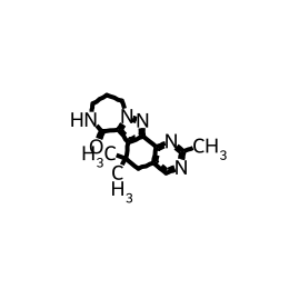 Cc1ncc2c(n1)-c1nn3c(c1C(C)(C)C2)C(=O)NCCC3